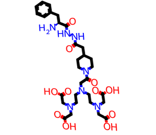 N[C@@H](Cc1ccccc1)C(=O)NNC(=O)CC1CCN(C(=O)CN(CCN(CC(=O)O)CC(=O)O)CCN(CC(=O)O)CC(=O)O)CC1